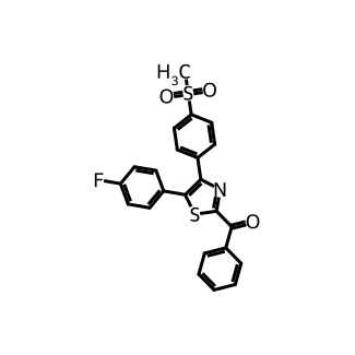 CS(=O)(=O)c1ccc(-c2nc(C(=O)c3ccccc3)sc2-c2ccc(F)cc2)cc1